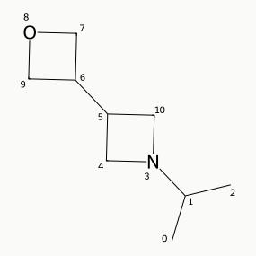 CC(C)N1CC(C2COC2)C1